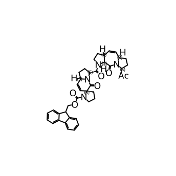 CC(=O)[C@@H]1CC[C@@H]2C=C[C@H]3CCN(C(=O)[C@@H]4CC[C@H]5C=C[C@]6(CCCN6C(=O)OCC6c7ccccc7-c7ccccc76)C(=O)N54)[C@@H]3C(=O)N21